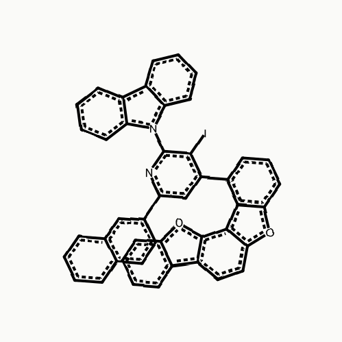 Ic1c(-c2cccc3oc4ccc5c6ccccc6oc5c4c23)cc(-c2ccc3ccccc3c2)nc1-n1c2ccccc2c2ccccc21